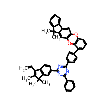 C=CC1=C(C)C(C)(C)c2cc(-c3nc(-c4ccccc4)nc(-c4ccc(-c5cccc6c5Oc5cc7c(cc5O6)-c5ccccc5C7(C)C)cc4)n3)ccc21